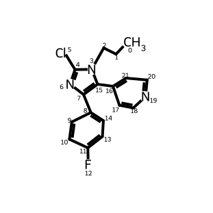 CCCn1c(Cl)nc(-c2ccc(F)cc2)c1-c1ccncc1